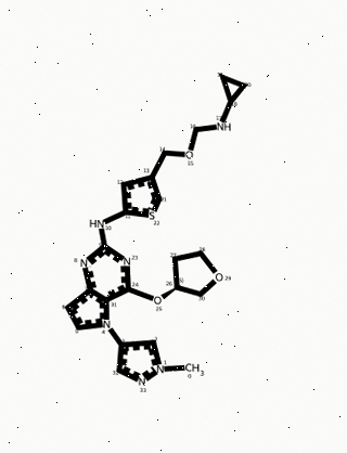 Cn1cc(-n2ccc3nc(Nc4cc(COCNC5CC5)cs4)nc(O[C@H]4CCOC4)c32)cn1